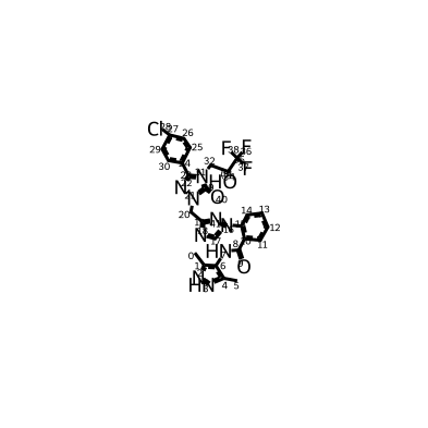 Cc1n[nH]c(C)c1NC(=O)c1ccccc1-n1cnc(Cn2nc(-c3ccc(Cl)cc3)n(C[C@H](O)C(F)(F)F)c2=O)n1